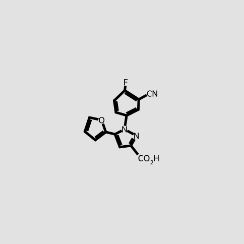 N#Cc1cc(-n2nc(C(=O)O)cc2-c2ccco2)ccc1F